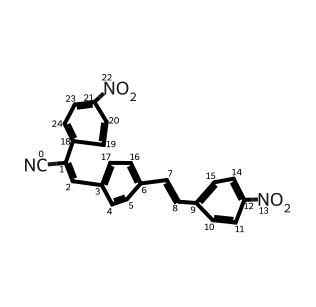 N#CC(=Cc1ccc(C=Cc2ccc([N+](=O)[O-])cc2)cc1)c1ccc([N+](=O)[O-])cc1